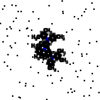 Cc1ccc(N(c2cc(C)cc(C)c2)c2cc3c4c(c2)c2cc(N(c5ccc(C)cc5)c5cc(C)cc(C)c5)cc5c2n4-c2c(cccc2C5(C)C)C3(C)C)cc1